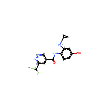 O=C(Nc1ccc(O)cc1NC1CC1)c1cnnc(C(F)F)c1